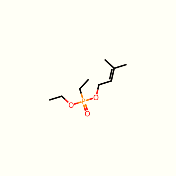 CCOP(=O)(CC)OCC=C(C)C